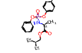 CCC(CC)COC(=O)[C@H](C)N[P@](=O)(Oc1ccccc1)Oc1ccc([N+](=O)[O-])cc1